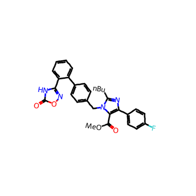 CCCCc1nc(-c2ccc(F)cc2)c(C(=O)OC)n1Cc1ccc(-c2ccccc2-c2noc(=O)[nH]2)cc1